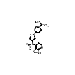 NC(c1ccc(-n2cc(C(c3ccnc4[nH]cnc34)[SH](=O)=O)cn2)nc1)C(F)(F)F